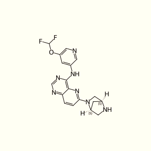 FC(F)Oc1cncc(Nc2ncnc3ccc(N4C[C@@H]5C[C@H]4CN5)nc23)c1